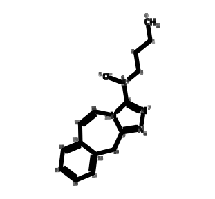 CCCC[S+]([O-])c1nnc2n1C=Cc1ccccc1C2